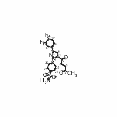 CC(=O)C=CC(=O)c1cc(-c2ccc(F)c(F)c2)nn1-c1ccc(S(N)(=O)=O)cc1